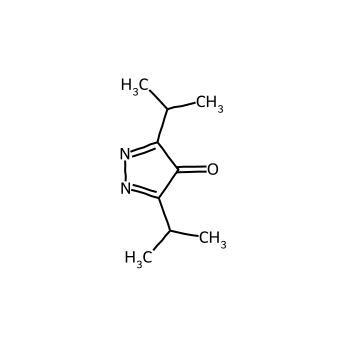 CC(C)C1=NN=C(C(C)C)C1=O